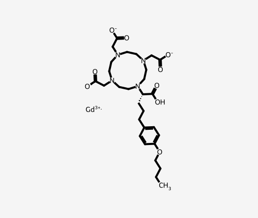 CCCCOc1ccc(CCC[C@@H](C(=O)O)N2CCN(CC(=O)[O-])CCN(CC(=O)[O-])CCN(CC(=O)[O-])CC2)cc1.[Gd+3]